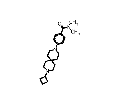 CN(C)C(=O)c1ccc(N2CCC3(CC2)CCN(C2CCC2)CC3)cc1